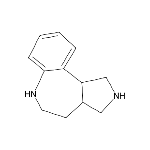 c1ccc2c(c1)NCCC1CNCC21